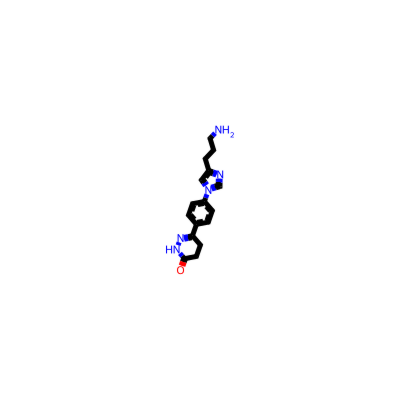 NCCCc1cn(-c2ccc(C3=NNC(=O)CC3)cc2)cn1